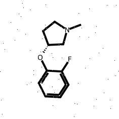 CN1CC[C@@H](OC2=CC=C=C=C2F)C1